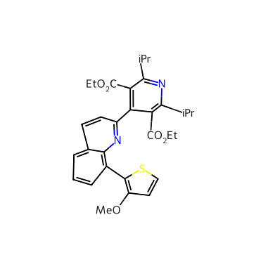 CCOC(=O)c1c(C(C)C)nc(C(C)C)c(C(=O)OCC)c1-c1ccc2cccc(-c3sccc3OC)c2n1